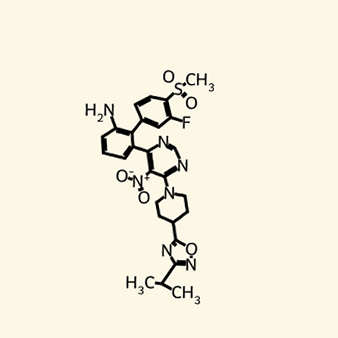 CC(C)c1noc(C2CCN(c3ncnc(-c4cccc(N)c4-c4ccc(S(C)(=O)=O)c(F)c4)c3[N+](=O)[O-])CC2)n1